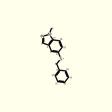 Cn1ncc2cc(SCc3ccccc3)ccc21